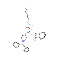 CCCCCCCNC(=O)NC(CNC(=O)c1ccccc1)CC1CCN(C(c2ccccc2)c2ccccc2)CC1